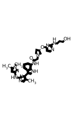 Cc1cnc(Nc2cc(C)n(C)n2)nc1-c1c[nH]c2c(NC(=O)CN3CC[C@H](Oc4ccnc(NCCCO)n4)C3)cccc12